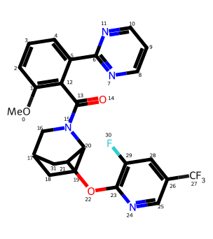 COc1cccc(-c2ncccn2)c1C(=O)N1CC2CCC1C(Oc1ncc(C(F)(F)F)cc1F)C2